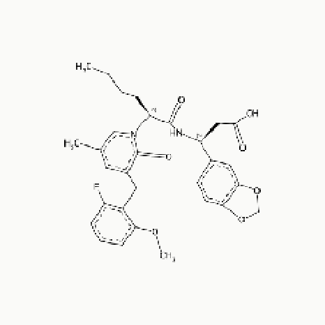 CCCC[C@@H](C(=O)N[C@@H](CC(=O)O)c1ccc2c(c1)OCO2)n1cc(C)cc(Cc2c(F)cccc2OC)c1=O